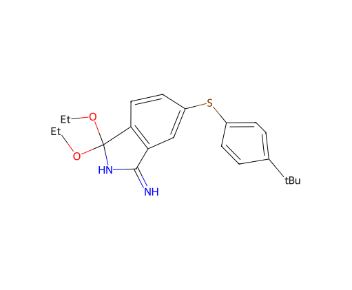 CCOC1(OCC)NC(=N)c2cc(Sc3ccc(C(C)(C)C)cc3)ccc21